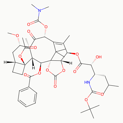 CO[C@H]1C[C@H]2CC[C@@]2(OC(C)=O)[C@H]2[C@H](OC(=O)c3ccccc3)[C@]34OC(=O)O[C@H]3[C@H](OC(=O)[C@H](O)[C@H](CC(C)C)NC(=O)OC(C)(C)C)C(C)=C([C@@H](OC(=O)N(C)C)C(=O)[C@]12C)C4(C)C